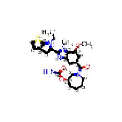 CCn1c(-c2nc3cc(C(=O)N4CCCC[C@@H](OC(N)=O)C4)cc(OC)c3n2C)cc2ccsc21